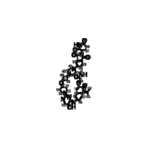 CNC(=O)COc1cc2cc(Nc3nc(N4CCC(OC5CC(N6CCN(c7ccc8c(c7)C(=O)N([C@@H]7CCC(=O)NC7=O)C8=O)C[C@H]6C)C5)CC4)ncc3Cl)ccc2n(C(C)C)c1=O